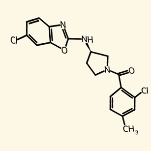 Cc1ccc(C(=O)N2CC[C@@H](Nc3nc4ccc(Cl)cc4o3)C2)c(Cl)c1